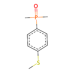 CSc1ccc(P(C)(C)=O)cc1